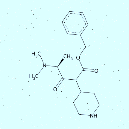 C[C@@H](C(=O)C(C(=O)OCc1ccccc1)C1CCNCC1)N(C)C